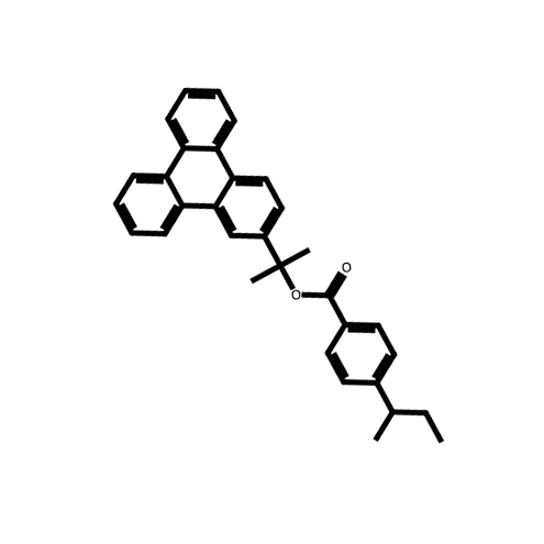 CCC(C)c1ccc(C(=O)OC(C)(C)c2ccc3c4ccccc4c4ccccc4c3c2)cc1